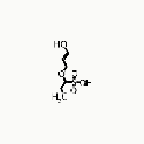 CCC(OCC=CO)S(=O)(=O)O